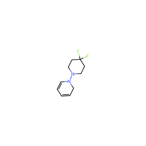 FC1(F)CCN(N2C=CC=CC2)CC1